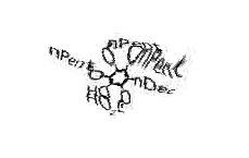 CCCCCCCCCCc1c(OC(=O)O)c(O)c(OCCCCC)c(OCCCCC)c1OCCCCC